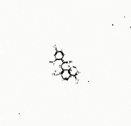 COc1cc(O)ccc1C(=O)Oc1c(O)ccc(C(=O)O)c1OC